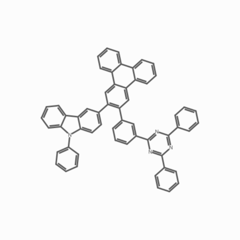 c1ccc(-c2nc(-c3ccccc3)nc(-c3cccc(-c4cc5c6ccccc6c6ccccc6c5cc4-c4ccc5c(c4)c4ccccc4n5-c4ccccc4)c3)n2)cc1